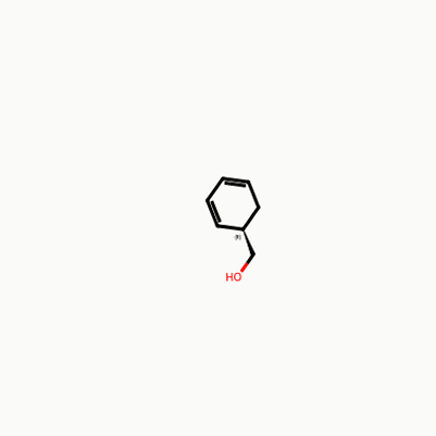 OC[C@H]1C=CC=CC1